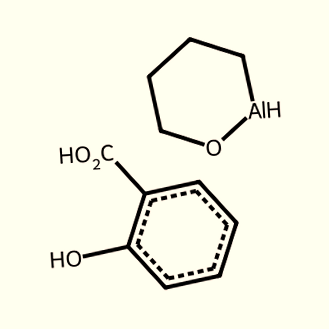 C1C[CH2][AlH][O]C1.O=C(O)c1ccccc1O